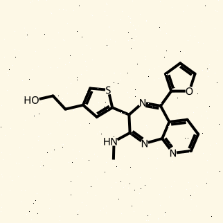 CNC1=Nc2ncccc2C(c2ccco2)=NC1c1cc(CCO)cs1